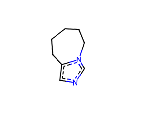 c1ncn2c1CCCCC2